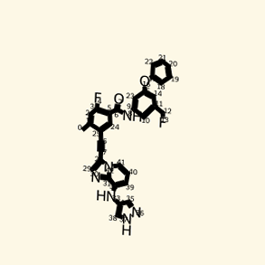 Cc1cc(F)c(C(=O)Nc2cc(CF)cc(Oc3ccccc3)c2)cc1C#Cc1cnc2c(Nc3cn[nH]c3)cccn12